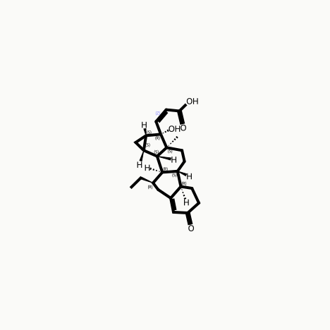 CC[C@@H]1CC2=CC(=O)CC[C@@H]2[C@H]2CC[C@@]3(C)[C@@H]([C@@H]4C[C@@H]4[C@@]3(O)/C=C\C(=O)O)[C@H]12